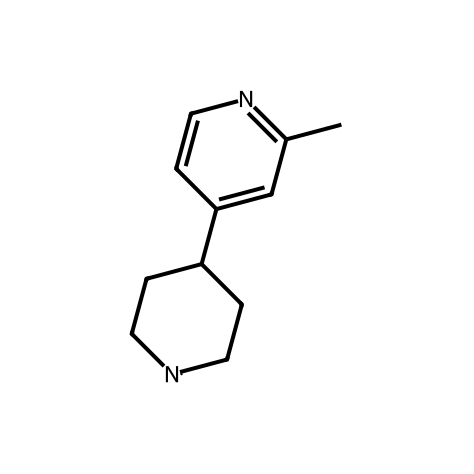 Cc1cc(C2CC[N]CC2)ccn1